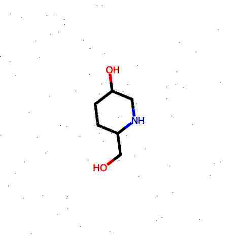 OCC1CCC(O)CN1